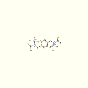 CC(C)N(Cc1ccc(CN(C(C)C)[Si](C)(C)C)cc1)[Si](C)(C)C